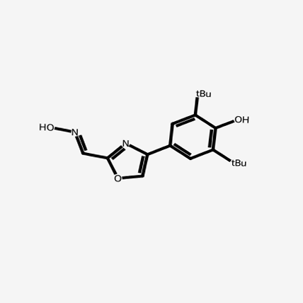 CC(C)(C)c1cc(-c2coc(C=NO)n2)cc(C(C)(C)C)c1O